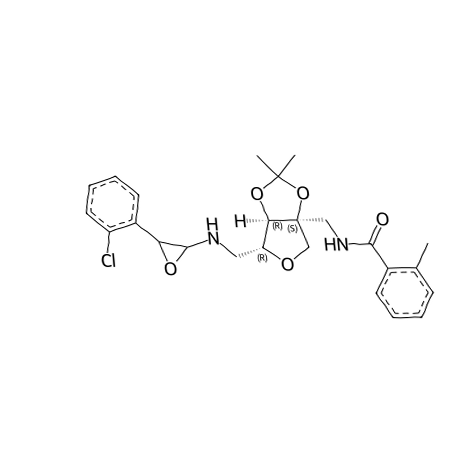 Cc1ccccc1C(=O)NC[C@]12CO[C@H](CNC3OC3c3ccccc3Cl)[C@H]1OC(C)(C)O2